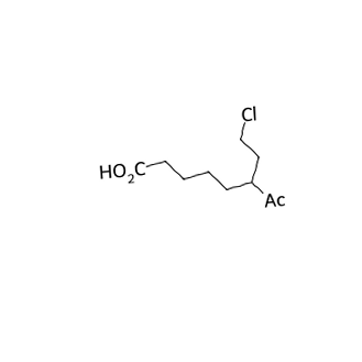 CC(=O)C(CCCl)CCCCC(=O)O